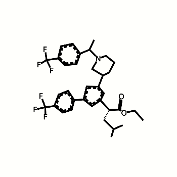 CCOC(=O)[C@H](CC(C)C)c1cc(-c2ccc(C(F)(F)F)cc2)cc(C2CCCN(C(C)c3ccc(C(F)(F)F)cc3)C2)c1